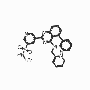 CCCNS(=O)(=O)c1cncc(-c2nc(NCC3=CC=CCN3)c3c(-c4ccccc4)cccc3n2)c1